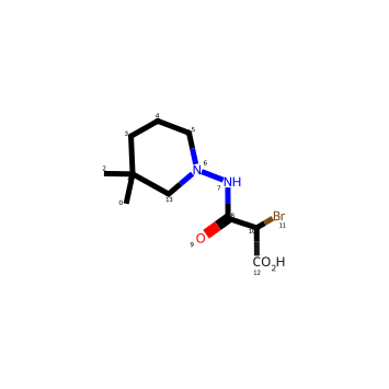 CC1(C)CCCN(NC(=O)C(Br)C(=O)O)C1